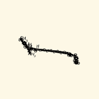 CC(=O)OCc1ccc(NC(=O)[C@H](CCCCN)NC(=O)COCC(=O)NCCOCCOCCOCCOCCOCCOCCOCCOCCn2cc(CNC(=O)[C@H]3CC[C@H](CN4C(=O)C=CC4=O)CC3)nn2)cc1